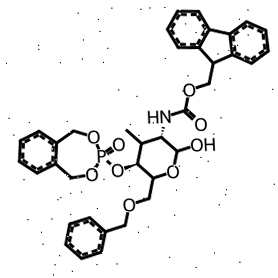 CC1[C@H](NC(=O)OCC2c3ccccc3-c3ccccc32)C(O)OC(COCc2ccccc2)[C@H]1OP1(=O)OCc2ccccc2CO1